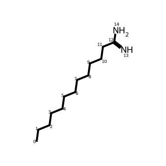 CCCCCCCCCCCCC(=N)N